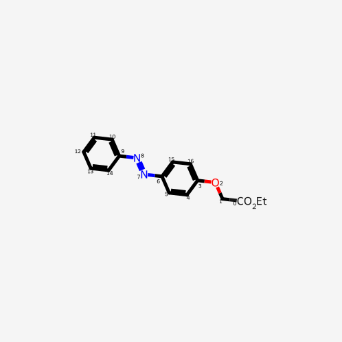 CCOC(=O)COc1ccc(/N=N/c2ccccc2)cc1